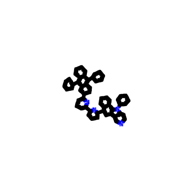 c1ccc(-c2c3ccccc3c(-c3ccccc3)c3cc(-c4cccc(-c5cccc(-c6cc7c8cnccc8n(-c8ccccc8)c7c7ccccc67)n5)n4)ccc23)cc1